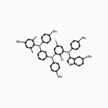 Cc1cc(C(C)(C)C)cc(C)c1N(c1ccc(C(C)(C)C)cc1)c1cccc(N(c2ccc(C(C)(C)C)cc2)c2cc(I)cc(N(c3ccc(C(C)(C)C)cc3)c3csc4ccc(C(C)(C)C)cc34)c2Cl)c1